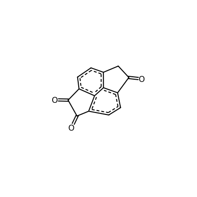 O=C1Cc2ccc3c4c(ccc1c24)C(=O)C3=O